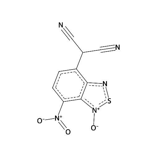 N#CC(C#N)c1ccc([N+](=O)[O-])c2c1ns[n+]2[O-]